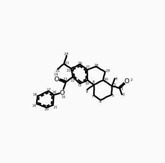 CC(=O)C1(C)CCCC2(C)c3cc(C(=O)Oc4ccccc4)c(C(C)C)cc3CCC12